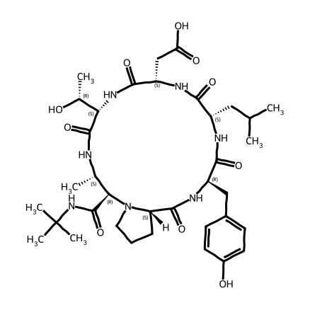 CC(C)C[C@@H]1NC(=O)[C@@H](Cc2ccc(O)cc2)NC(=O)[C@@H]2CCCN2[C@@H](C(=O)NC(C)(C)C)[C@H](C)NC(=O)[C@H]([C@@H](C)O)NC(=O)[C@H](CC(=O)O)NC1=O